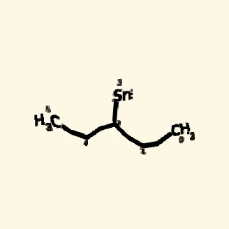 CC[CH]([Sn])CC